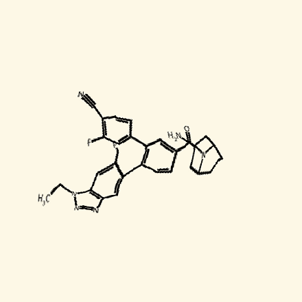 CCn1nnc2cc(-c3ccc(C(=O)N4C5CCC4CC(N)C5)cc3-c3ccc(C#N)c(F)c3)c(F)cc21